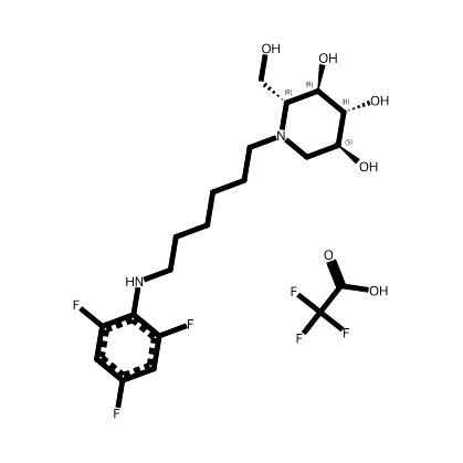 O=C(O)C(F)(F)F.OC[C@@H]1[C@@H](O)[C@H](O)[C@@H](O)CN1CCCCCCNc1c(F)cc(F)cc1F